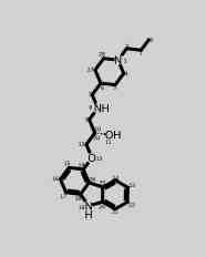 CCCN1CCC(CNC[C@H](O)COc2cccc3[nH]c4ccccc4c23)CC1